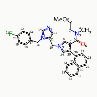 COCCN(C)C(=O)c1cn(Cc2cncn2Cc2ccc(F)cc2)cc1-c1cccc2ccccc12